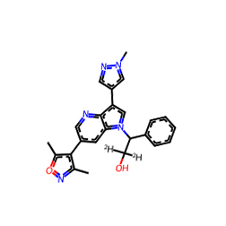 [2H]C([2H])(O)C(c1ccccc1)n1cc(-c2cnn(C)c2)c2ncc(-c3c(C)noc3C)cc21